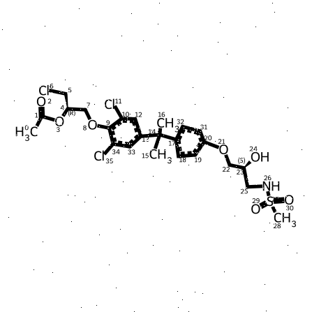 CC(=O)O[C@@H](CCl)COc1c(Cl)cc(C(C)(C)c2ccc(OC[C@@H](O)CNS(C)(=O)=O)cc2)cc1Cl